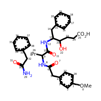 COc1ccc(CC(=O)NC(C(=O)NC(Cc2ccccc2)C(O)CCC(=O)O)C(C)C)cc1.NC(=O)Cc1ccccc1